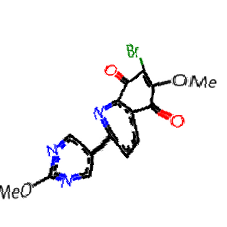 COC1=C(Br)C(=O)c2nc(-c3cnc(OC)nc3)ccc2C1=O